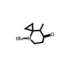 CC1C(=O)CCN(C(C)(C)C)C12CC2